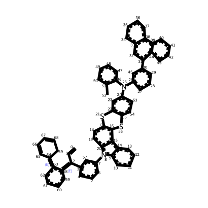 C=C/C(c1cccc(-n2c3ccccc3c3c4c(ccc32)Sc2cc(N(c3cccc(-c5cc6ccccc6c6ccccc56)c3)c3ccccc3C)ccc2S4)c1)=c1/cccc/c1=C1\C=CC=CC1